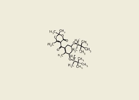 CC1=C(C(=O)C2=C(C)C(O[Si](C)(C)C(C)(C)C)CC(O[Si](C)(C)C(C)(C)C)C2)C(=O)OC(C)(C)O1